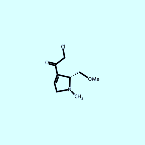 COC[C@H]1C(C(=O)CCl)=CCN1C